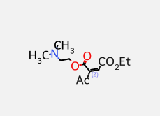 CCOC(=O)/C=C(/C(C)=O)C(=O)OCCN(C)C